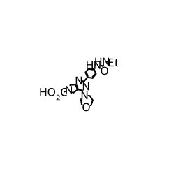 CCNC(=O)Nc1ccc(-c2nc3c(c(N4CCCOCC4)n2)CN(C(=O)O)C3)cc1